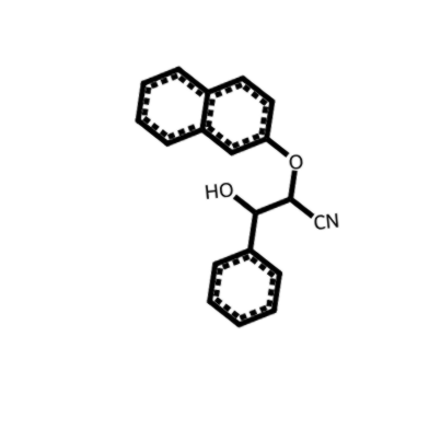 N#CC(Oc1ccc2ccccc2c1)C(O)c1ccccc1